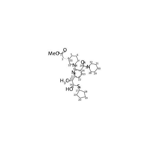 COC(=O)C[C@@H]1CCCN(c2nc(C(C)C(O)SC3CCCC3)ccc2C(=O)N2CCCCC2)C1